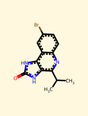 CC(C)c1nc2ccc(Br)cc2c2[nH]c(=O)[nH]c12